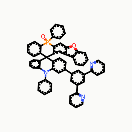 O=P1(c2ccccc2)c2ccccc2C2(c3ccccc3N(c3ccccc3)c3cc(-c4cc(-c5ccccn5)cc(-c5ccccn5)c4)ccc32)c2cc3c(cc21)oc1ccccc13